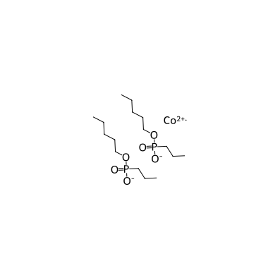 CCCCCOP(=O)([O-])CCC.CCCCCOP(=O)([O-])CCC.[Co+2]